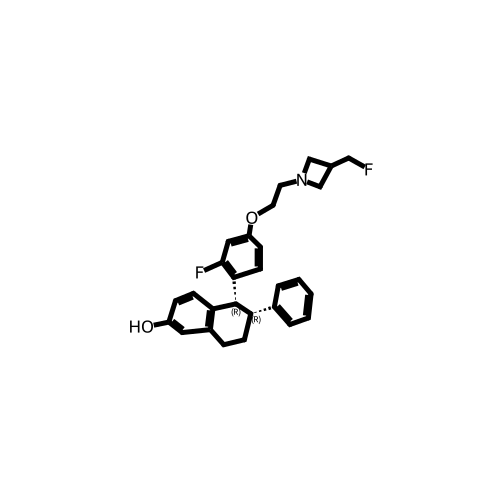 Oc1ccc2c(c1)CC[C@@H](c1ccccc1)[C@H]2c1ccc(OCCN2CC(CF)C2)cc1F